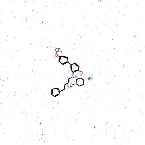 CC(C)[C@@H]1CC[C@@H](C)C[C@H]1Oc1ccc(-c2ccc(OC(F)(F)F)cc2)cc1NCCCCc1ccccc1